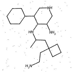 CC(CC1(CCN)CCC1)NC1C(N)CNCC1C1CCCCC1